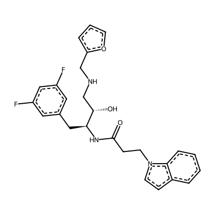 O=C(CCn1ccc2ccccc21)N[C@@H](Cc1cc(F)cc(F)c1)[C@@H](O)CNCc1ccco1